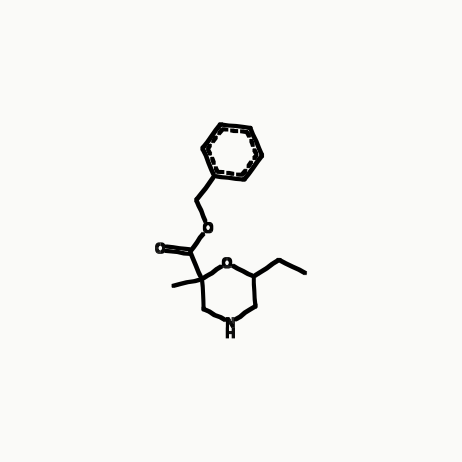 CCC1CNCC(C)(C(=O)OCc2ccccc2)O1